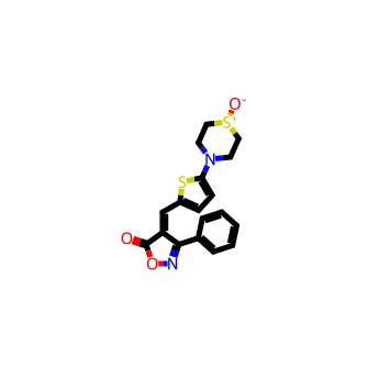 O=C1ON=C(c2ccccc2)/C1=C\c1ccc(N2CC[S+]([O-])CC2)s1